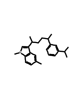 Cc1ccc2c(c1)c(C(C)CCC(C)c1cccc(C(C)C)c1)cn2C